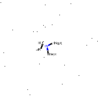 CCCC.CCCCCCCNCCCCCCC